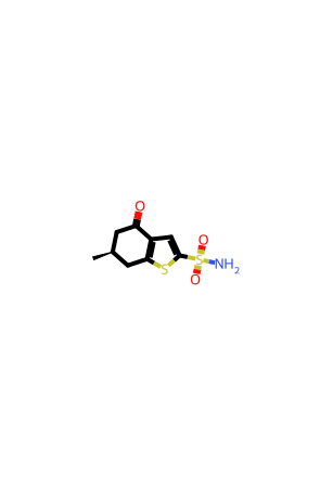 C[C@H]1CC(=O)c2cc(S(N)(=O)=O)sc2C1